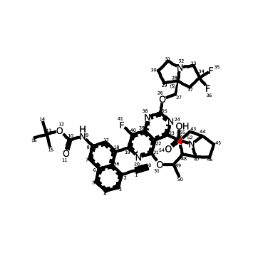 C#Cc1cccc2cc(NC(=O)OC(C)(C)C)cc(-c3nc4c5c(nc(OC[C@@]67CCCN6CC(F)(F)C7)nc5c3F)N3CC5CCC(C3C(C)O4)N5C(=O)O)c12